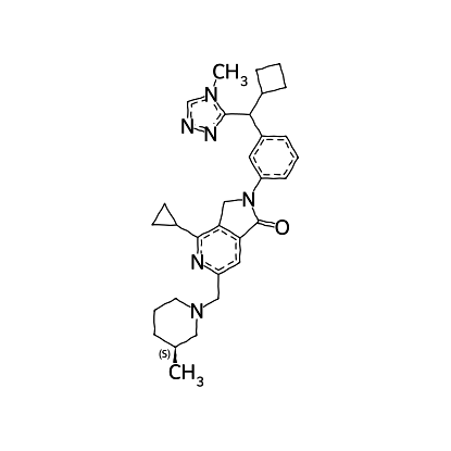 C[C@H]1CCCN(Cc2cc3c(c(C4CC4)n2)CN(c2cccc(C(c4nncn4C)C4CCC4)c2)C3=O)C1